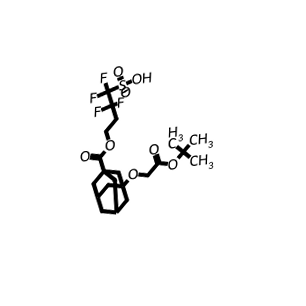 CC(C)(C)OC(=O)COC12CC3CC(C1)CC(C(=O)OCCC(F)(F)C(F)(F)S(=O)(=O)O)(C3)C2